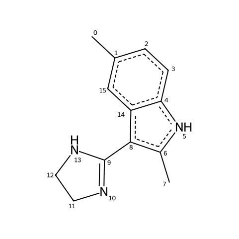 Cc1ccc2[nH]c(C)c(C3=NCCN3)c2c1